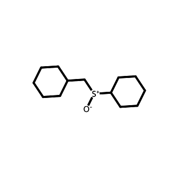 [O-][S+](CC1CCCCC1)C1CCCCC1